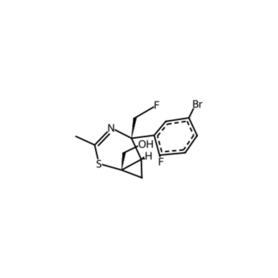 CC1=N[C@](CF)(c2cc(Br)ccc2F)[C@@H]2C[C@]2(CO)S1